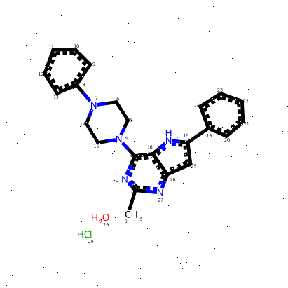 Cc1nc(N2CCN(c3ccccc3)CC2)c2[nH]c(-c3ccccc3)cc2n1.Cl.O